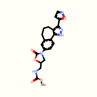 CC(C)(C)OC(=O)NCC1CN(c2ccc3c(c2)CCCc2c(-c4ccno4)n[nH]c2-3)C(=O)O1